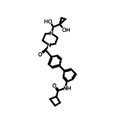 O=C(Nc1cccc(-c2ccc(C(=O)N3CCN(C(O)C4(O)CC4)CC3)cc2)c1)C1CCC1